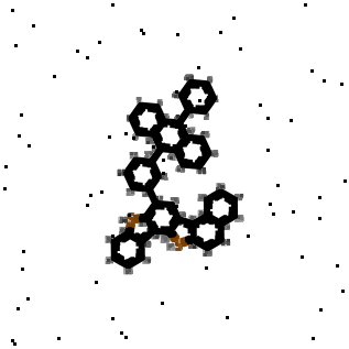 c1ccc(-c2c3ccccc3c(-c3cccc(-c4cc5c(sc6ccc7ccccc7c65)c5c4sc4ccccc45)c3)c3ccccc23)cc1